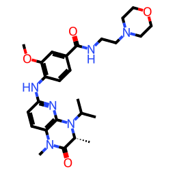 COc1cc(C(=O)NCCN2CCOCC2)ccc1Nc1ccc2c(n1)N(C(C)C)[C@H](C)C(=O)N2C